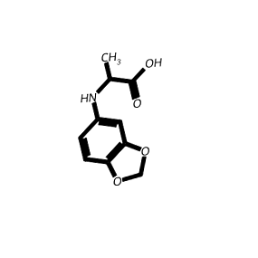 CC(Nc1ccc2c(c1)OCO2)C(=O)O